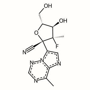 Cc1ncnn2c([C@]3(C#N)O[C@H](CO)[C@@H](O)[C@@]3(C)F)cnc12